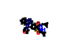 O=C(NCC1CC1)c1c(NC(=O)C2CC2)sc2c1CC(n1cnnc1N(Cc1ccccc1)CN1CCOCC1)CC2